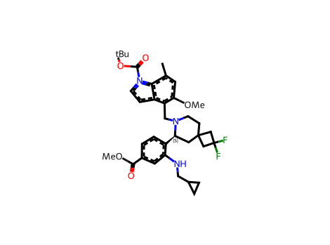 COC(=O)c1ccc([C@@H]2CC3(CCN2Cc2c(OC)cc(C)c4c2ccn4C(=O)OC(C)(C)C)CC(F)(F)C3)c(NCC2CC2)c1